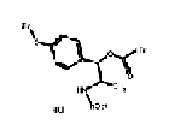 CCCCCCCCNC(C)C(OC(=O)CCC)c1ccc(SC(C)C)cc1.Cl